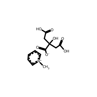 C[n+]1ccccc1.O=C(O)CC(O)(CC(=O)O)C(=O)[O-]